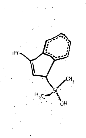 CC(C)C1=CC([Si](C)(C)O)c2ccccc21